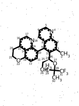 Cc1cc2ncccc2c(-c2ccc3c4c(ccnc24)CCO3)c1[C@H](CO)OC(C)(C)C(F)(F)F